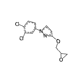 Clc1ccc(-n2ccc(OCC3CO3)n2)cc1Cl